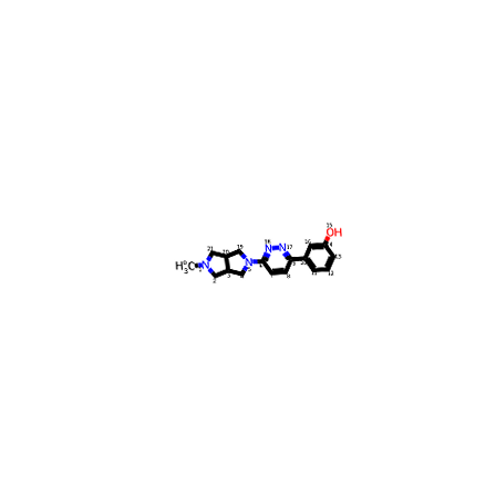 CN1CC2CN(c3ccc(-c4cccc(O)c4)nn3)CC2C1